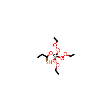 CCOO[Si](OOCC)(OOCC)OC(S)CC